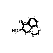 Cc1cn2c3c(cccc3c1=O)OCC2